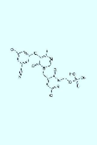 Cc1ncn(Cc2cc(Cl)nn(COP(=O)(O)O)c2=O)c(=O)c1Oc1cc(Cl)cc(C#N)c1